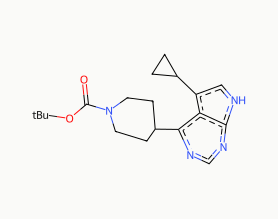 CC(C)(C)OC(=O)N1CCC(c2ncnc3[nH]cc(C4CC4)c23)CC1